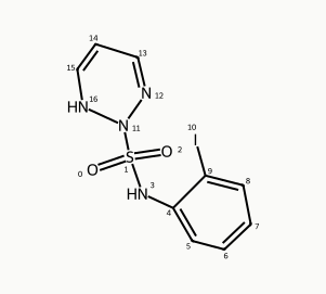 O=S(=O)(Nc1ccccc1I)N1N=CC=CN1